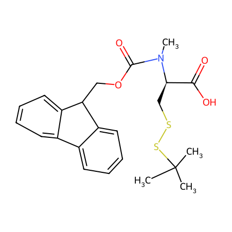 CN(C(=O)OCC1c2ccccc2-c2ccccc21)[C@H](CSSC(C)(C)C)C(=O)O